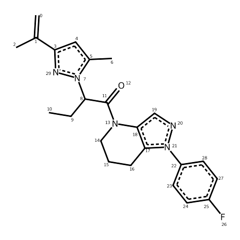 C=C(C)c1cc(C)n(C(CC)C(=O)N2CCCc3c2cnn3-c2ccc(F)cc2)n1